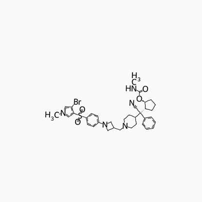 CNC(=O)O[C@H]1CCC[C@@H]1C(C#N)(c1ccccc1)C1CCN(CC2CN(c3ccc(S(=O)(=O)c4cn(C)cc4Br)cc3)C2)CC1